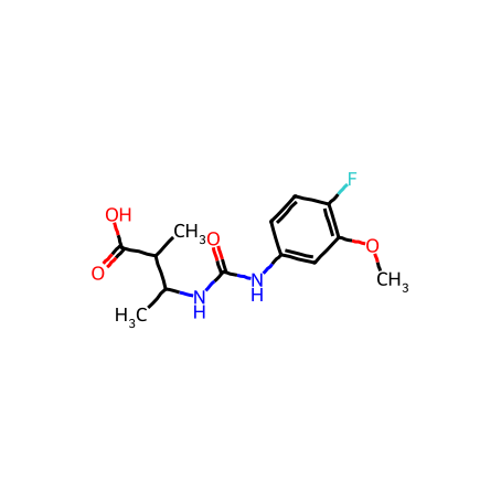 COc1cc(NC(=O)NC(C)C(C)C(=O)O)ccc1F